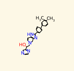 Cc1ccc(-c2ccc(-c3nc4c([nH]3)C=CN(CC(O)c3cnccn3)C4)cc2)cc1C